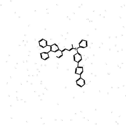 C\C=C/C(=C\C=C(/C)N(c1ccccc1)c1ccc(-c2ccc(-c3ccccc3)cc2)cc1)c1ccc(-c2ccccc2)c(-c2ccccc2)c1